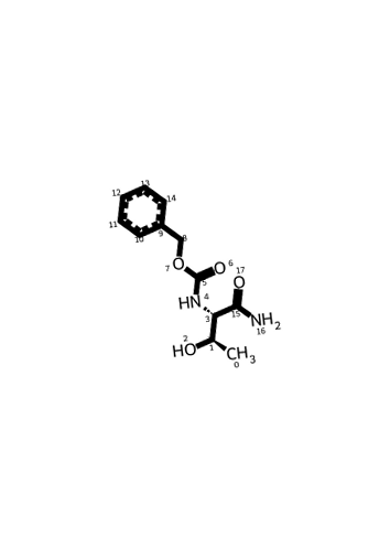 C[C@@H](O)[C@H](NC(=O)OCc1ccccc1)C(N)=O